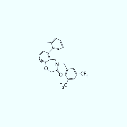 Cc1ccccc1-c1ccnc2c1CN(Cc1cc(C(F)(F)F)cc(C(F)(F)F)c1)C(=O)CO2